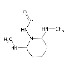 CNC1CCCC(NC)N1N[C]=O